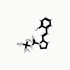 CC(C)(C)OC(=O)N1CCCC1/C=C/c1ccccc1F